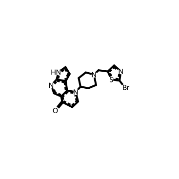 O=c1ccn(C2CCN(Cc3cnc(Br)s3)CC2)c2c1cnc1[nH]ccc12